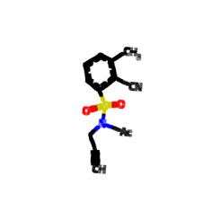 C#CCN(C(C)=O)S(=O)(=O)c1cccc(C)c1C#N